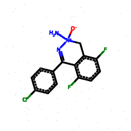 N[N+]1([O-])Cc2c(F)ccc(F)c2C(c2ccc(Cl)cc2)=N1